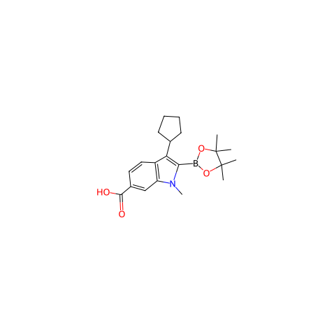 Cn1c(B2OC(C)(C)C(C)(C)O2)c(C2CCCC2)c2ccc(C(=O)O)cc21